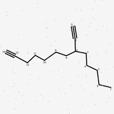 [C]#CC(CCCCC)CCCCCC#C